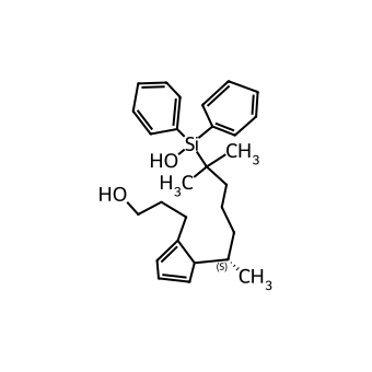 C[C@@H](CCCC(C)(C)[Si](O)(c1ccccc1)c1ccccc1)C1C=CC=C1CCCO